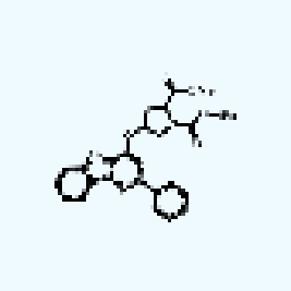 COC(=O)C1CC(Oc2nc(-c3ccccc3)nc3c2oc2ccccc23)CN1C(=O)OC(C)(C)C